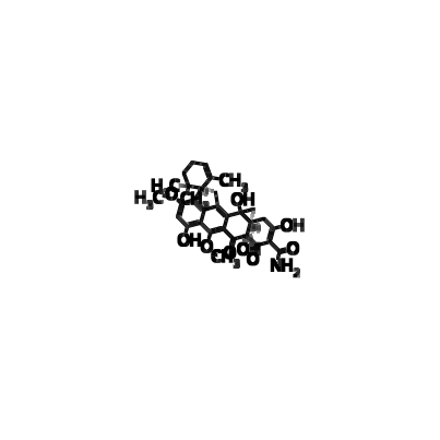 COc1cc(O)c2c(OC)c3c(c4c2c1[C@]1(C4)C(C)=CCCC1(C)C)C1(O)C[C@@]12CC(O)=C(C(N)=O)C(=O)[C@@]2(O)C3=O